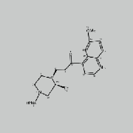 CCCCCCN1CC[C@@H](CCC(=O)c2ccnc3ccc(OC)cc23)[C@@H](CC)C1